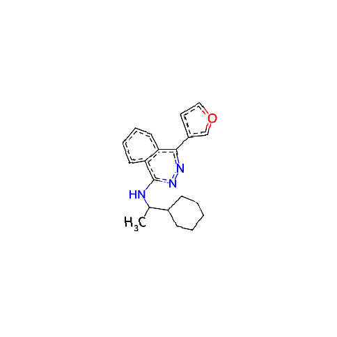 CC(Nc1nnc(-c2ccoc2)c2ccccc12)C1CCCCC1